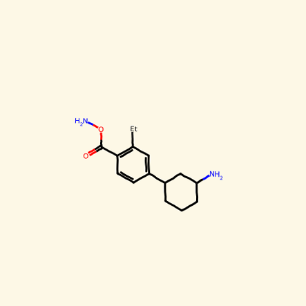 CCc1cc(C2CCCC(N)C2)ccc1C(=O)ON